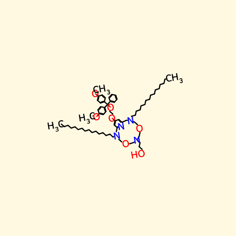 CCCCCCCCCCCCCCCCN1CCOCCN(CCCO)CCOCCN(CCCCCCCCCCCCCCCC)Cc2cc(OCCOC(c3ccccc3)(c3ccc(OC)cc3)c3ccc(OC)cc3)cc(n2)C1